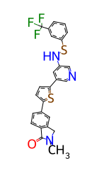 CN1Cc2cc(-c3ccc(-c4cncc(NSc5cccc(C(F)(F)F)c5)c4)s3)ccc2C1=O